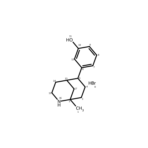 Br.CC12CCC(c3cccc(O)c3)C(CCN1)C2